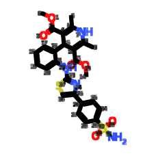 COC(=O)C1=C(C)NC(C)=C(C(=O)OC)C1c1ccccc1Nc1nc(-c2ccc(S(N)(=O)=O)cc2)cs1